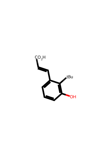 CC(C)(C)c1c(O)cccc1/C=C/C(=O)O